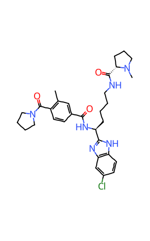 Cc1cc(C(=O)N[C@@H](CCCCNC(=O)[C@@H]2CCCN2C)c2nc3cc(Cl)ccc3[nH]2)ccc1C(=O)N1CCCC1